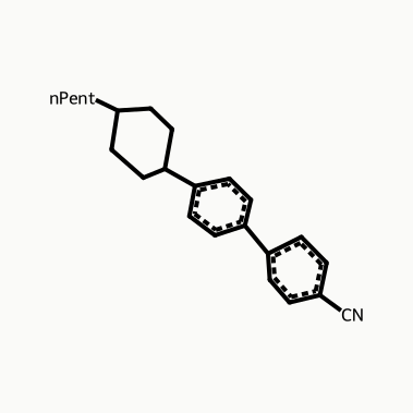 CCCCCC1CCC(c2ccc(-c3ccc(C#N)cc3)cc2)CC1